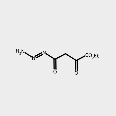 CCOC(=O)C(=O)CC(=O)N=NN